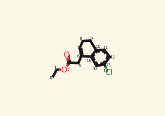 CCOC(=O)CC1=CCCc2ccc(Cl)cc21